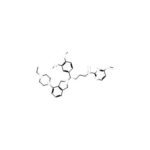 CCN1CCN(c2cccc3c2CN([C@H](CCCNc2nccc(OC)n2)c2ccc(OC)c(OC)c2)C3)CC1